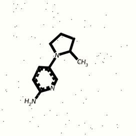 CC1CCCN1c1ccc(N)nc1